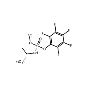 CCO[P@](=O)(N[C@@H](C)C(=O)O)Oc1c(F)c(F)c(F)c(F)c1F